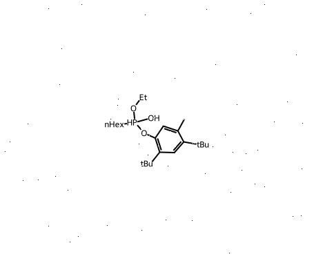 CCCCCC[PH](O)(OCC)Oc1cc(C)c(C(C)(C)C)cc1C(C)(C)C